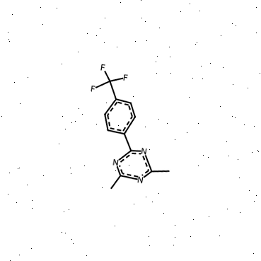 Cc1nc(C)nc(-c2ccc(C(F)(F)F)cc2)n1